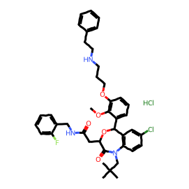 COc1c(OCCCNCCc2ccccc2)cccc1C1OC(CC(=O)NCc2ccccc2F)C(=O)N(CC(C)(C)C)c2ccc(Cl)cc21.Cl